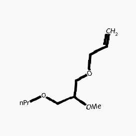 C=CCOCC(COCCC)OC